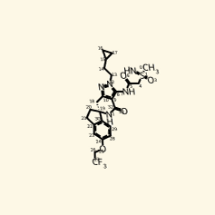 CS(=N)(=O)CC(=O)Nc1c2c(nn1CCC1CC1)C[C@]1(CCc3cc(OCC(F)(F)F)ccc31)NC2=O